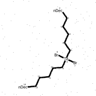 CCCCCCCCCCCCCCC[Te](Br)(Br)CCCCCCCCCCCCCCC